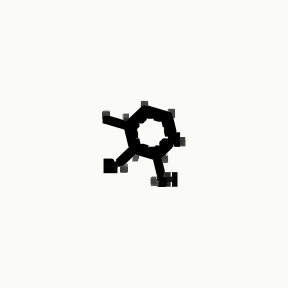 Cc1ccnc(S)c1Br